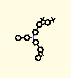 CC(C)(C)c1ccc2c(c1)C(C)(C)c1ccc(-c3ccc(N(c4ccc(-c5ccccc5)cc4)c4ccc(-c5ccc6sc7ccccc7c6c5)cc4)cc3)cc1-2